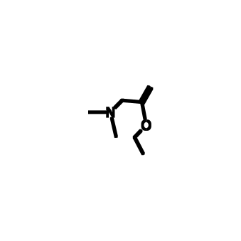 C=C(CN(C)C)OCC